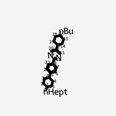 CCCCCCCC1CCC(c2ccc(-c3ncc(C4CCC(CCCC)CC4)cn3)cc2)CC1